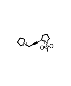 CS(=O)(=O)N1CCC[C@@H]1C#CCN1CCCC1